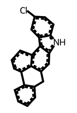 Clc1ccc2[nH]c3cc4c5c(cccc5c3c2c1)-c1ccccc1C4